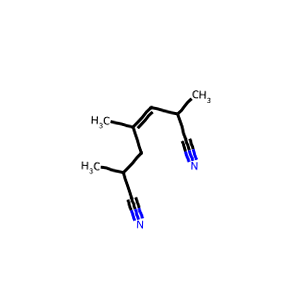 CC(=CC(C)C#N)CC(C)C#N